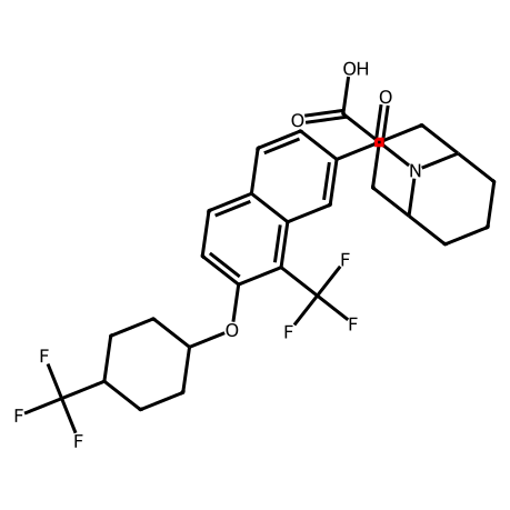 O=C(O)C1CC2CCCC(C1)N2C(=O)c1ccc2ccc(OC3CCC(C(F)(F)F)CC3)c(C(F)(F)F)c2c1